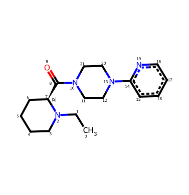 CCN1CCCC[C@H]1C(=O)N1CCN(c2ccccn2)CC1